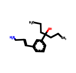 CCCC(O)(CCC)c1cccc(/C=C/CN)c1